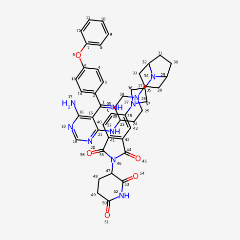 N=C(c1ccc(Oc2ccccc2)cc1)c1c(N)ncnc1NC1CCN(C2CC3CCC(C2)N3C2CN(c3ccc4c(c3)C(=O)N(C3CCC(=O)NC3=O)C4=O)C2)CC1